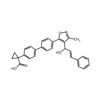 Cc1noc(-c2ccc(-c3ccc(C4(C(=O)O)CC4)cc3)cc2)c1C(O)/C=C/c1ccccc1